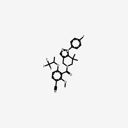 COc1c(C#N)ccc(OC(C)C(F)(F)F)c1C(=O)N1Cc2cnn(-c3ccc(F)cc3)c2C(C)(C)C1